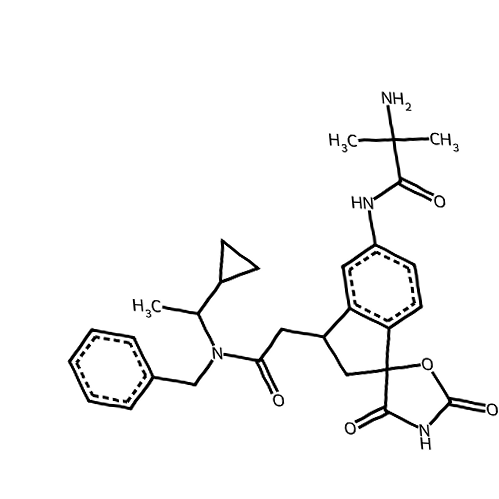 CC(C1CC1)N(Cc1ccccc1)C(=O)CC1CC2(OC(=O)NC2=O)c2ccc(NC(=O)C(C)(C)N)cc21